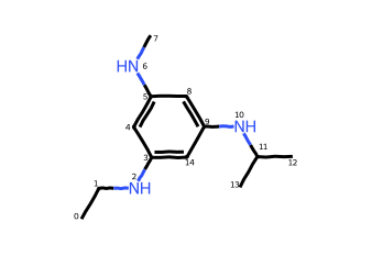 CCNc1cc(NC)cc(NC(C)C)c1